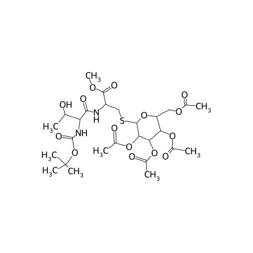 COC(=O)C(CSC1OC(COC(C)=O)C(OC(C)=O)C(OC(C)=O)C1OC(C)=O)NC(=O)C(NC(=O)OC(C)(C)C)C(C)O